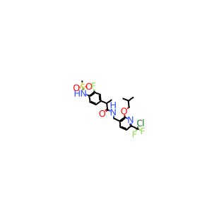 CC(C)COc1nc(C(F)(F)Cl)ccc1CNC(=O)C(C)c1ccc(NS(C)(=O)=O)c(F)c1